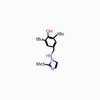 CSc1nccn1NCc1cc(C(C)(C)C)c(O)c(C(C)(C)C)c1